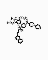 Cc1c(C(=O)O)cccc1C(=O)O.O=C(C1CCN(c2ccncc2)CC1)N1CCN(S(=O)(=O)CC=Cc2ccc3ccccc3c2)CC1